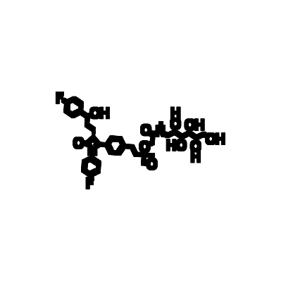 CN(CC(O)C(O)C(O)C(O)CO)C(=O)COC1(CCc2ccc(C3[C@@H](CCC(O)c4ccc(F)cc4)C(=O)N3c3ccc(F)cc3)cc2)COC1